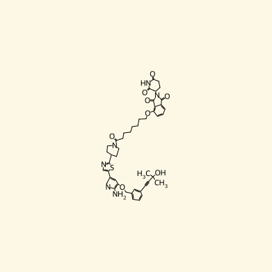 CC(C)(O)C#Cc1cccc(COc2cc(-c3cnc(C4CCN(C(=O)CCCCCCCOc5cccc6c5C(=O)N(C5CCC(=O)NC5=O)C6=O)CC4)s3)cnc2N)c1